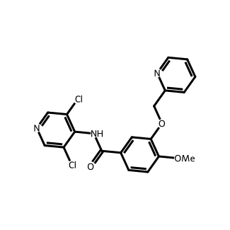 COc1ccc(C(=O)Nc2c(Cl)cncc2Cl)cc1OCc1ccccn1